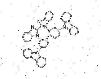 c1ccc2c(c1)nc1c3nc4ccccc4n3c3cc(-n4c5ccccc5c5ccccc54)ccc3c3ccc(-n4c5ccccc5c5ccccc54)cc3n21